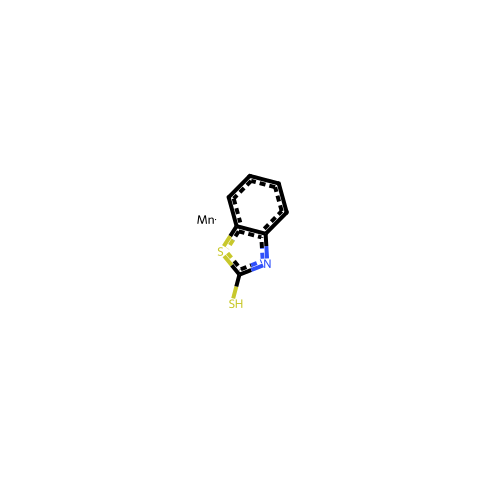 Sc1nc2ccccc2s1.[Mn]